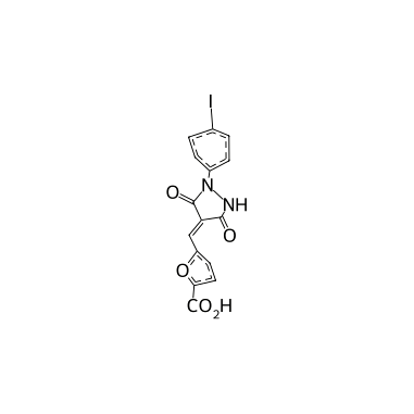 O=C1NN(c2ccc(I)cc2)C(=O)/C1=C/c1ccc(C(=O)O)o1